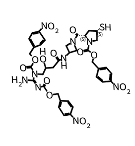 NC(=NC(=O)OCc1ccc([N+](=O)[O-])cc1)N(CC(O)CC(=O)NC1CN(C(=O)[C@@H]2C[C@H](S)CN2C(=O)OCc2ccc([N+](=O)[O-])cc2)C1)C(=O)OCc1ccc([N+](=O)[O-])cc1